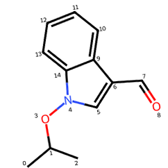 CC(C)On1cc(C=O)c2ccccc21